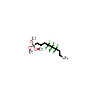 CCO[Si](CCCC(F)(F)C(F)(F)C(F)(F)CCC(F)(F)F)(OCC)OCC